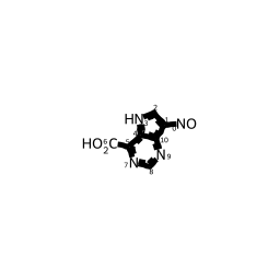 O=Nc1c[nH]c2c(C(=O)O)ncnc12